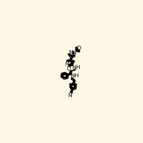 N#Cc1ccc(CCN[C@H](c2ccccc2)[C@@H]2CNc3cc(-c4cnn(C5COC5)c4)cnc3O2)cc1